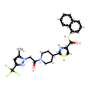 Cc1cc(C(F)(F)F)nn1CC(=O)N1CCC(c2nc(C(=O)Sc3cccc4ccccc34)cs2)CC1